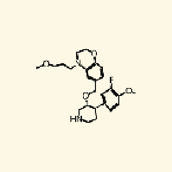 COCCCN1CCOc2ccc(CO[C@H]3CNCC[C@@H]3c3ccc(OC)c(F)c3)cc21